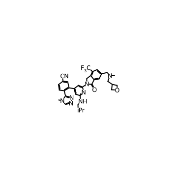 CC(C)CNc1cc(-c2cc(C#N)ccc2-c2nncn2C)cc(N2Cc3c(cc(CN(C)CC4COC4)cc3C(F)(F)F)C2=O)n1